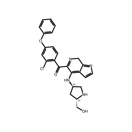 O=C(C1=NCC2=NC=CC2=C1N[C@H]1CN[C@H](CO)C1)c1ccc(Oc2ccccc2)cc1Cl